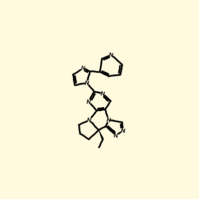 CC[C@@]12CCCN1c1nc(-n3ccnc3-c3cccnc3)ncc1-n1cnnc12